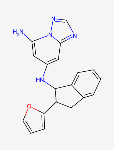 Nc1cc(NC2c3ccccc3CC2c2ccco2)cc2ncnn12